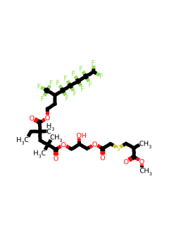 CCC(C)(CC(C)(C)C(=O)OCC(O)COC(=O)CSCC(C)C(=O)OC)C(=O)OCCC(C(F)(F)F)C(F)(F)C(F)(F)C(F)(F)C(F)(F)C(F)F